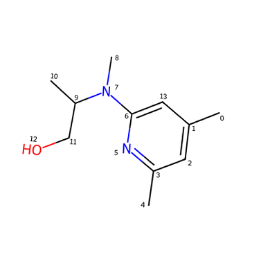 Cc1cc(C)nc(N(C)C(C)CO)c1